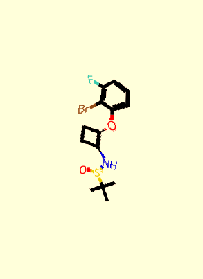 CC(C)(C)[S+]([O-])N[C@H]1CC[C@@H]1Oc1cccc(F)c1Br